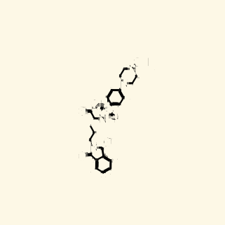 CN1CCN(c2ccc(S(=O)(=O)N[C@H](CCCN3C(=O)c4ccccc4C3=O)C(=O)O)cc2)CC1